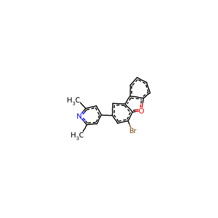 Cc1cc(-c2cc(Br)c3oc4ccccc4c3c2)cc(C)n1